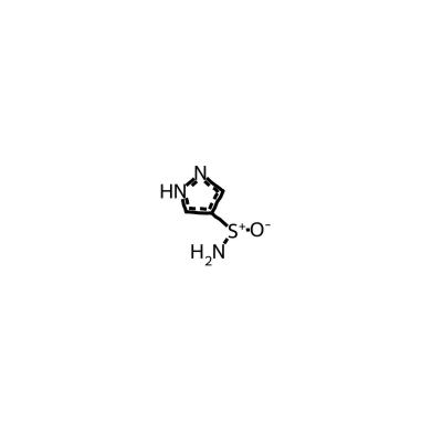 N[S+]([O-])c1cn[nH]c1